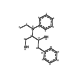 CCN(c1ccccc1)C(CO)C(O)Cc1ccccc1